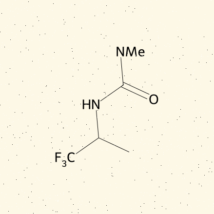 CNC(=O)NC(C)C(F)(F)F